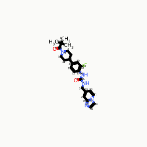 CC(C)(C)C(=O)N1CCC(c2ccc(NC(=O)NCc3ccn4ccnc4c3)c(F)c2)CC1